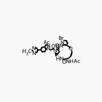 CC(=O)N[C@H]1CC=CCOCc2ccc(Br)nc2NC(=O)[C@@H]2C[C@@]3(CNC1=O)CC3N2C(=O)Cn1nc(C(C)=O)c2cc(-c3cnc(C)nc3)ccc21